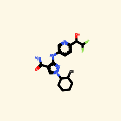 N#CC1CCCCC1n1cc(C(N)=O)c(Nc2ccc(C(O)C(F)F)nc2)n1